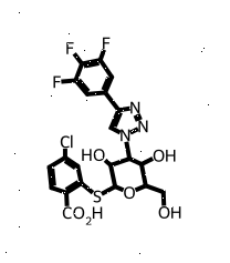 O=C(O)c1ccc(Cl)cc1SC1OC(CO)C(O)C(n2cc(-c3cc(F)c(F)c(F)c3)nn2)C1O